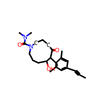 CC#Cc1cc(C)c(C2C(=O)CCCN(C(=O)N(C)C)CCCC2O)c(C)c1